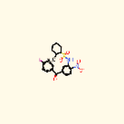 CC1CCCCC1S(=O)(=O)Nc1cc(C(=O)c2ccc(I)cc2)ccc1[N+](=O)[O-]